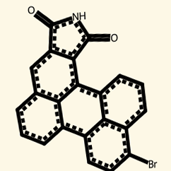 O=c1[nH]c(=O)c2c1cc1cccc3c4ccc(Br)c5cccc(c54)c2c13